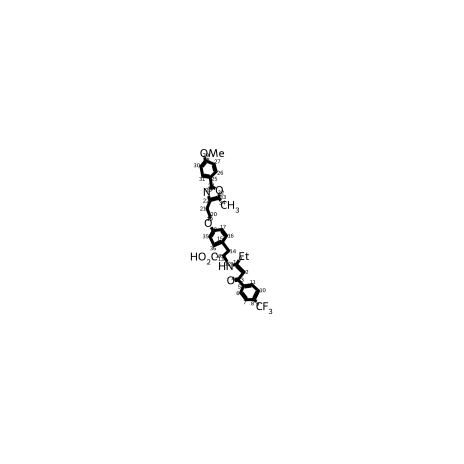 CCC(=CC(=O)c1ccc(C(F)(F)F)cc1)N[C@@H](Cc1ccc(OCCc2nc(-c3ccc(OC)cc3)oc2C)cc1)C(=O)O